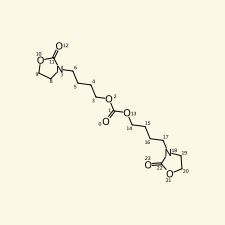 O=C(OCCCCN1CCOC1=O)OCCCCN1CCOC1=O